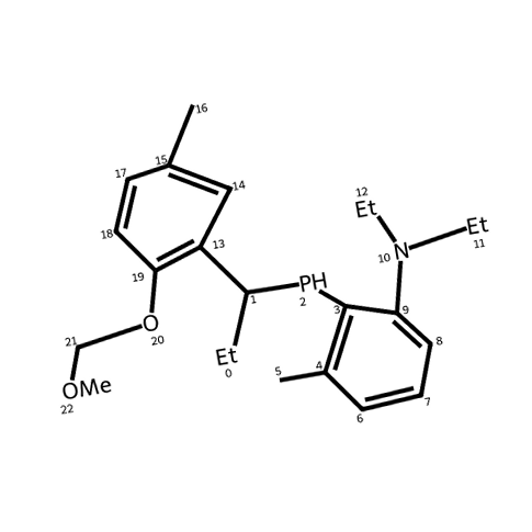 CCC(Pc1c(C)cccc1N(CC)CC)c1cc(C)ccc1OCOC